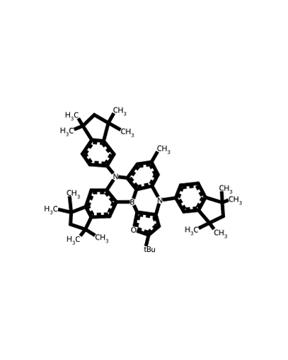 Cc1cc2c3c(c1)N(c1ccc4c(c1)C(C)(C)CC4(C)C)c1cc(C(C)(C)C)oc1B3c1cc3c(cc1N2c1ccc2c(c1)C(C)(C)CC2(C)C)C(C)(C)CC3(C)C